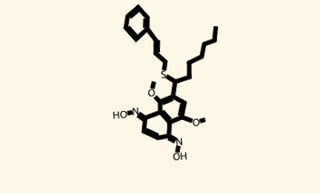 CCCCCCC(SCC=Cc1ccccc1)c1cc(OC)c2c(c1OC)C(=NO)C=CC2=NO